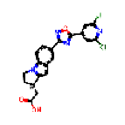 O=C(O)C[C@H]1CCn2c1cc1cc(-c3noc(-c4cc(Cl)nc(Cl)c4)n3)ccc12